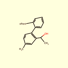 CCCCCc1ccccc1-c1ccc(C)cc1C(C)O